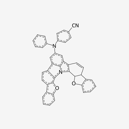 N#Cc1ccc(N(c2ccccc2)c2cc3c4c(n5c3c(c2)c2ccc3c6ccccc6oc3c25)C2Oc3ccccc3C2C=C4)cc1